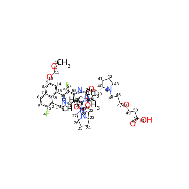 C#Cc1c(F)ccc2cc(OCOC)cc(-c3ncc4c(N5CC6CCC(C5)N6C(=O)OC(C)(C)C)nc(OC[C@@H]5CCCN5CCCOCCC(=O)O)nc4c3F)c12